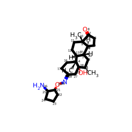 C[C@H]1C[C@H]2[C@@H]3CCC(=O)[C@@]3(C)CC[C@@H]2[C@@]2(C)CCC(=NOC3CCCC3N)C[C@]12O